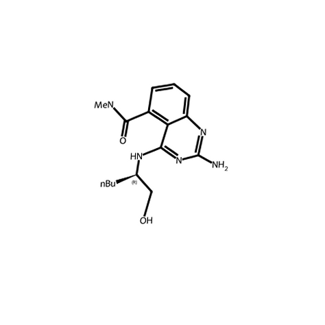 CCCC[C@H](CO)Nc1nc(N)nc2cccc(C(=O)NC)c12